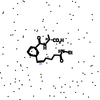 CCNC(=O)CCC/C=C\c1cccc(C(=O)N[C@H](C)C(=O)O)c1